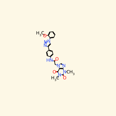 COc1ccccc1-n1cc(-c2ccc(NC(=O)Cn3cnc4c3c(=O)n(C)c(=O)n4C)cc2)nn1